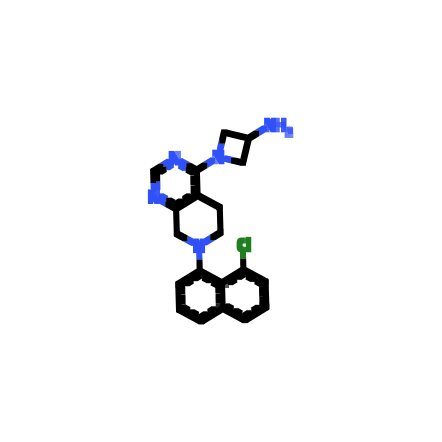 NC1CN(c2ncnc3c2CCN(c2cccc4cccc(Cl)c24)C3)C1